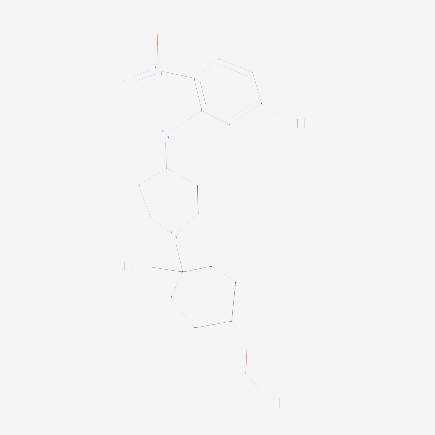 CCOC1CCC(C)(N2CCC(Nc3cc(C)ccc3[N+](=O)[O-])CC2)CC1